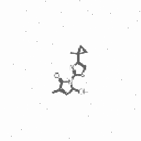 CC1=CC(O)N(c2nc(C3(C)CC3)cs2)C1=O